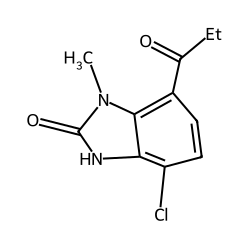 CCC(=O)c1ccc(Cl)c2[nH]c(=O)n(C)c12